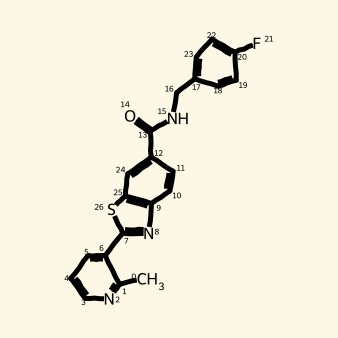 Cc1ncccc1-c1nc2ccc(C(=O)NCc3ccc(F)cc3)cc2s1